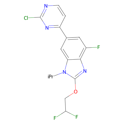 CC(C)n1c(OCC(F)F)nc2c(F)cc(-c3ccnc(Cl)n3)cc21